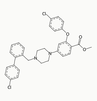 COC(=O)c1ccc(N2CCN(Cc3ccccc3-c3ccc(Cl)cc3)CC2)cc1Oc1ccc(Cl)cc1